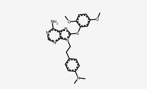 COc1ccc(OC)c(Sc2nc3c(N)ncnc3n2CCc2ccc(N(C)C)cc2)c1